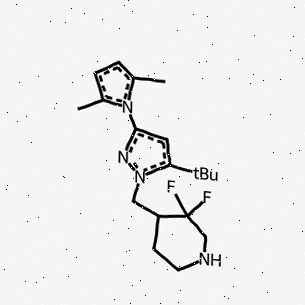 Cc1ccc(C)n1-c1cc(C(C)(C)C)n(CC2CCNCC2(F)F)n1